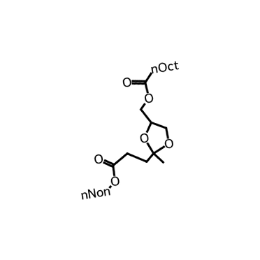 CCCCCCCCCOC(=O)CCC1(C)OCC(COC(=O)CCCCCCCC)O1